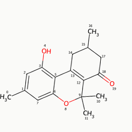 Cc1cc(O)c2c(c1)OC(C)(C)C1=C2CC(C)CC1=O